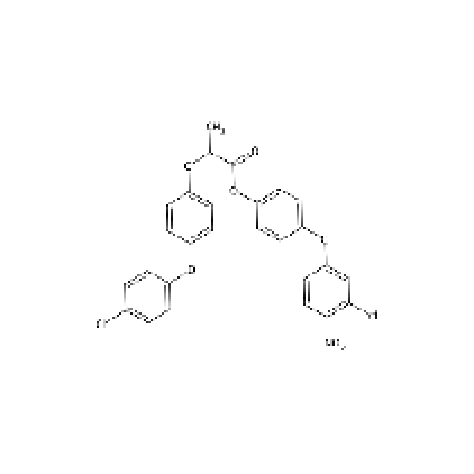 CC(Oc1ccc(Oc2ccc(Cl)cc2)cc1)C(=O)Oc1ccc(Oc2ccc([N+](=O)[O-])c(Cl)c2)cc1